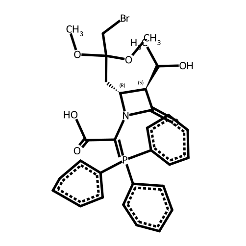 COC(CBr)(C[C@@H]1[C@@H](C(C)O)C(=O)N1C(C(=O)O)=P(c1ccccc1)(c1ccccc1)c1ccccc1)OC